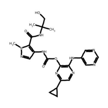 Cn1ncc(NC(=O)Oc2nc(C3CC3)cnc2Nc2cncnc2)c1C(=O)NC(C)(C)CO